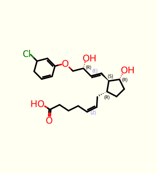 O=C(O)CCC/C=C\C[C@H]1CC[C@@H](O)[C@@H]1/C=C/[C@@H](O)COC1=CC(Cl)CC=C1